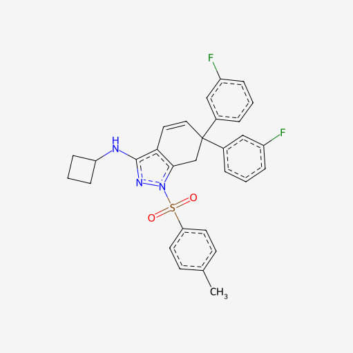 Cc1ccc(S(=O)(=O)n2nc(NC3CCC3)c3c2CC(c2cccc(F)c2)(c2cccc(F)c2)C=C3)cc1